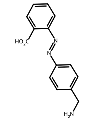 NCc1ccc(N=Nc2ccccc2C(=O)O)cc1